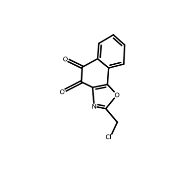 O=C1C(=O)c2nc(CCl)oc2-c2ccccc21